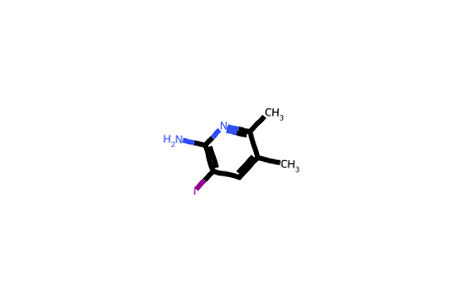 Cc1cc(I)c(N)nc1C